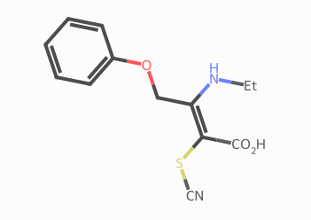 CCN/C(COc1ccccc1)=C(/SC#N)C(=O)O